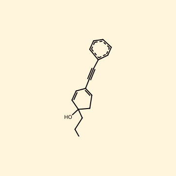 CCCC1(O)C=CC(C#Cc2ccccc2)=CC1